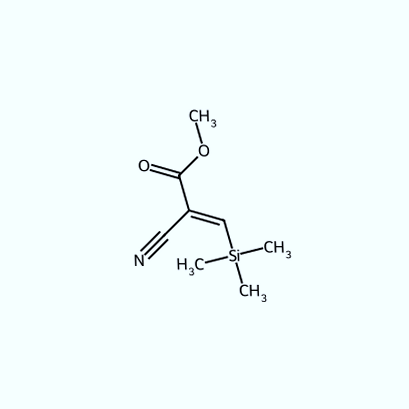 COC(=O)C(C#N)=C[Si](C)(C)C